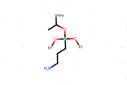 CCCCCCC(C)O[Si](CCCN)(OCC)OCC